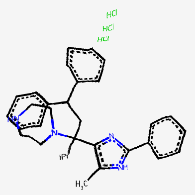 Cc1[nH]c(-c2ccccc2)nc1C(CC(c1ccccc1)c1ccccc1)(C(C)C)N1CCNCC1.Cl.Cl.Cl